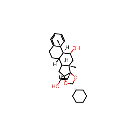 C[C@]12C=CC=C=C1CC[C@@H]1[C@@H]2[C@@H](O)C[C@@]2(C)[C@H]1C[C@@H]1O[C@@H](C3CCCCC3)O[C@]12C=CO